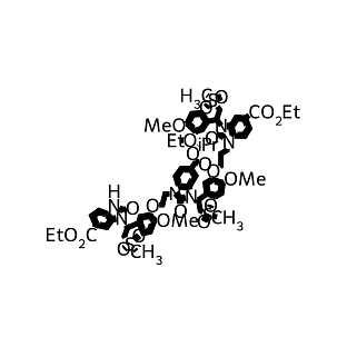 CCOC(=O)c1ccc2[nH]c(=O)n(C(CS(C)(=O)=O)c3ccc(OC)c(OCCn4c(=O)n(C(CS(C)(=O)=O)c5ccc(OC)c(OCCCn6c(=O)n(C(CS(C)(=O)=O)c7ccc(OC)c(OCC)c7)c7cc(C(=O)OCC)ccc76)c5)c5cc(C(=O)OC(C)C)ccc54)c3)c2c1